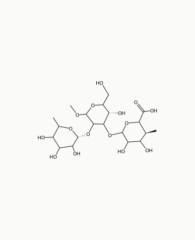 COC1OC(CO)[C@H](O)C(OC2OC(C(=O)O)[C@@H](C)C(O)C2O)C1O[C@H]1OC(C)C(O)C(O)C1O